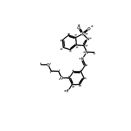 COCCOc1cc(/C=N/N(C)C2=NS(=O)(=O)c3ccccc32)ccc1F